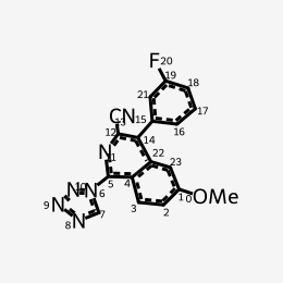 COc1ccc2c(-n3cnnn3)nc(C#N)c(-c3cccc(F)c3)c2c1